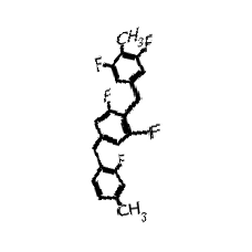 Cc1ccc(Cc2cc(F)c(Cc3cc(F)c(C)c(F)c3)c(F)c2)c(F)c1